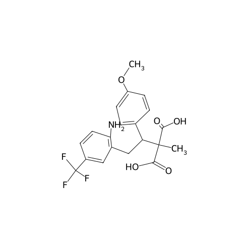 COc1ccc(C(Cc2cc(C(F)(F)F)ccc2N)C(C)(C(=O)O)C(=O)O)cc1